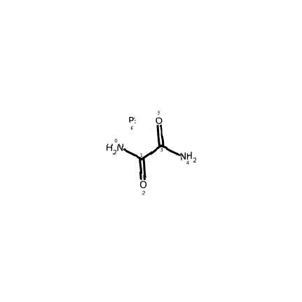 NC(=O)C(N)=O.[P]